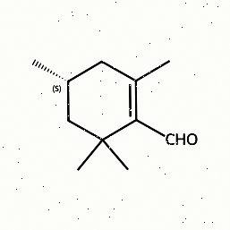 CC1=C(C=O)C(C)(C)C[C@H](C)C1